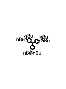 CCCCN(CCCC)c1ccc(C(c2ccc(N(CCCC)CCCC)cc2)c2ccc(N(CCCC)CCCC)cc2)cc1